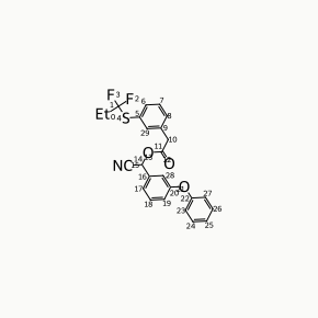 CCC(F)(F)Sc1cccc(CC(=O)OC(C#N)c2cccc(Oc3ccccc3)c2)c1